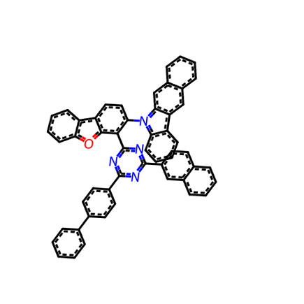 c1ccc(-c2ccc(-c3nc(-c4ccc5ccccc5c4)nc(-c4c(-n5c6ccccc6c6cc7ccccc7cc65)ccc5c4oc4ccccc45)n3)cc2)cc1